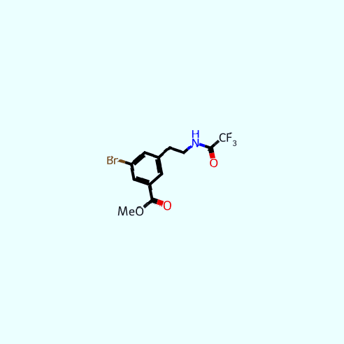 COC(=O)c1cc(Br)cc(CCNC(=O)C(F)(F)F)c1